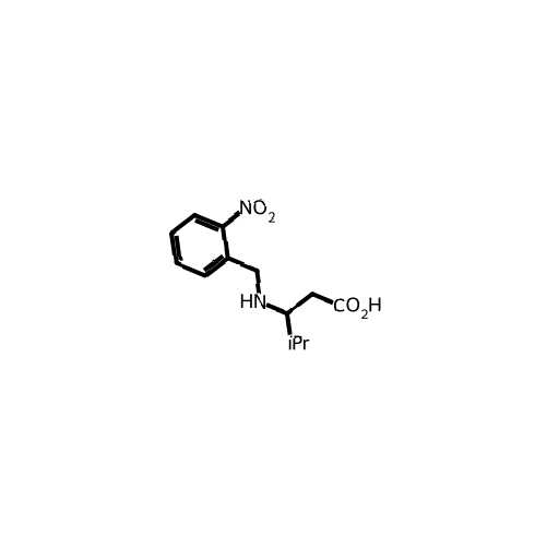 CC(C)C(CC(=O)O)NCc1ccccc1[N+](=O)[O-]